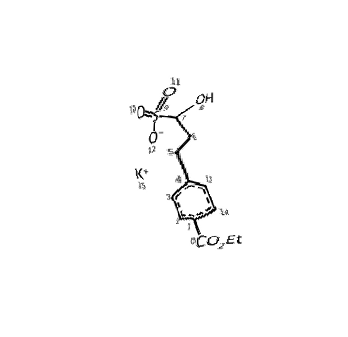 CCOC(=O)c1ccc(CCC(O)S(=O)(=O)[O-])cc1.[K+]